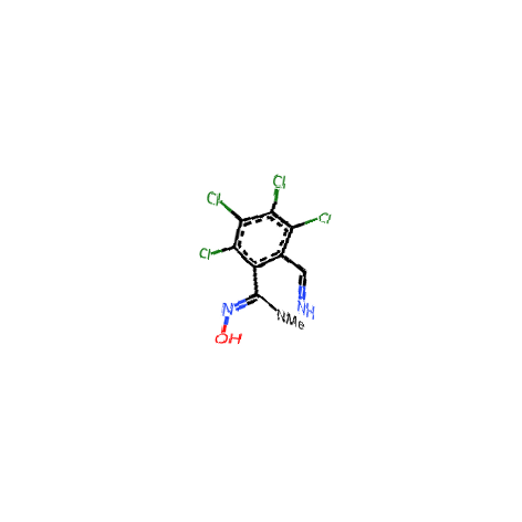 CN/C(=N\O)c1c(Cl)c(Cl)c(Cl)c(Cl)c1C=N